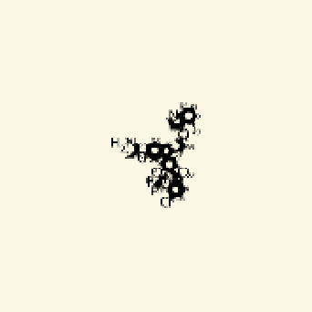 COC(=O)C1(N(C(=O)C(F)(F)F)c2cccc(Cl)c2)CCC2(CC1)c1cc(O[C@@H](C)CN)ccc1C[C@@H]2C[C@@H](C)COc1ccnc2c1[C@H](C)CCC2